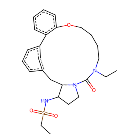 CCN1CCCCOc2ccccc2-c2cccc(c2)CC2C(NS(=O)(=O)CC)CCN2C1=O